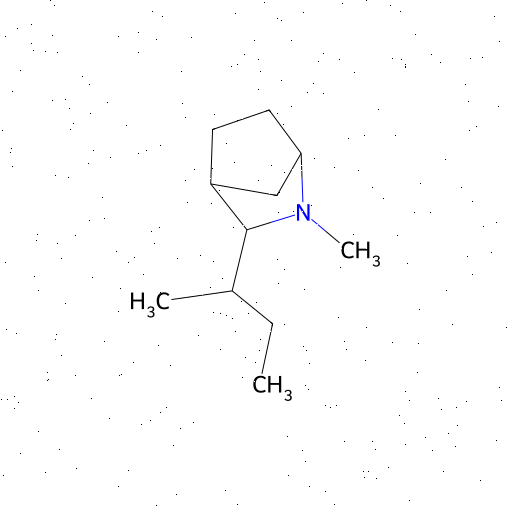 CCC(C)C1C2CCC(C2)N1C